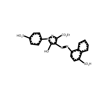 CCOC(=O)c1nn(-c2ccc(S(=O)(=O)O)cc2)c(O)c1N=Nc1ccc(S(=O)(=O)O)c2ccccc12